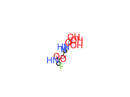 CC1(C)O/C(=C2/C(=O)Nc3ccc(F)cc32)C=C1c1ccc(NC[C@H]2O[C@H](CO)[C@@H](O)[C@@H]2O)nc1